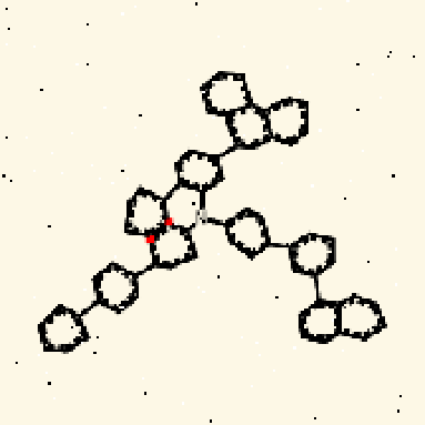 c1ccc(-c2ccc(-c3ccc(N(c4ccc(-c5cccc(-c6cccc7ccccc67)c5)cc4)c4cc(-c5cc6ccccc6c6ccccc56)ccc4-c4ccccc4)cc3)cc2)cc1